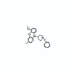 COc1cccc2c1Oc1cc(C)ccc1N2C1CCN(Cc2ccccc2)CC1